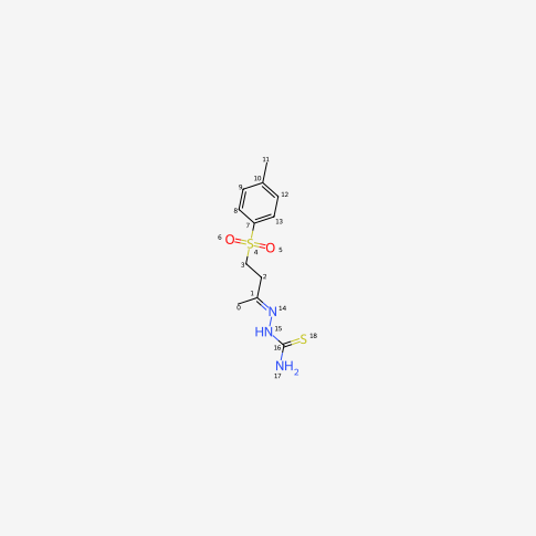 C/C(CCS(=O)(=O)c1ccc(C)cc1)=N\NC(N)=S